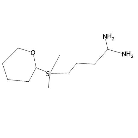 C[Si](C)(CCCC(N)N)C1CCCCO1